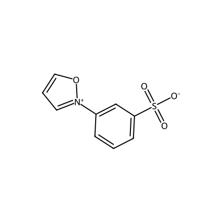 O=S(=O)([O-])c1cccc(-[n+]2ccco2)c1